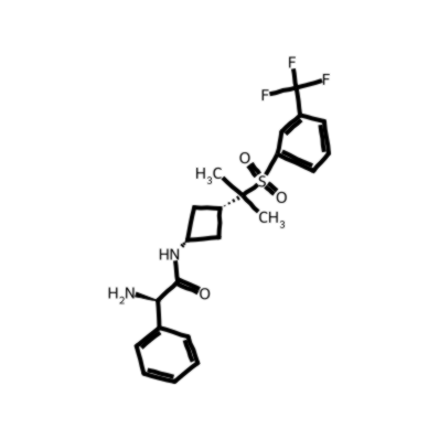 CC(C)([C@H]1C[C@@H](NC(=O)[C@H](N)c2ccccc2)C1)S(=O)(=O)c1cccc(C(F)(F)F)c1